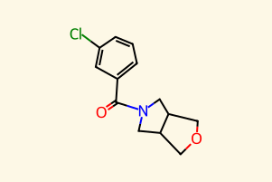 O=C(c1cccc(Cl)c1)N1CC2COCC2C1